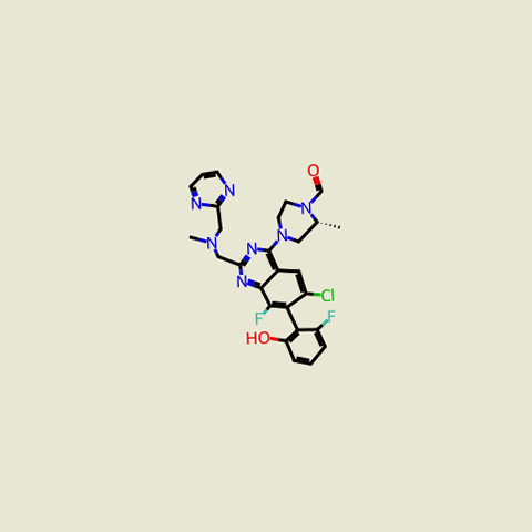 C[C@@H]1CN(c2nc(CN(C)Cc3ncccn3)nc3c(F)c(-c4c(O)cccc4F)c(Cl)cc23)CCN1C=O